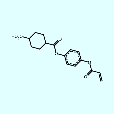 C=CC(=O)Oc1ccc(OC(=O)C2CCC(C(=O)O)CC2)cc1